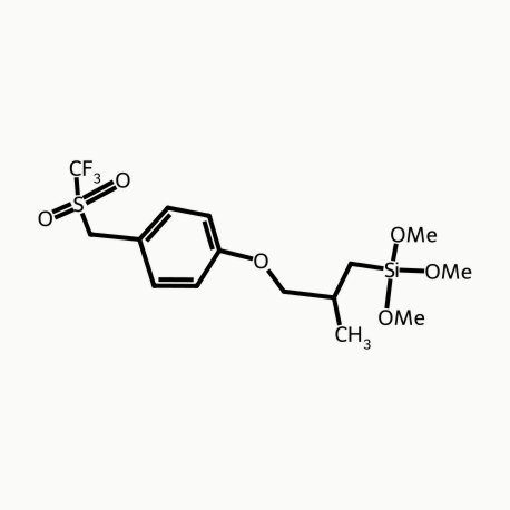 CO[Si](CC(C)COc1ccc(CS(=O)(=O)C(F)(F)F)cc1)(OC)OC